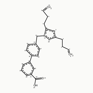 C=CCCc1nc(CCC=C)n(Cc2ccc(-c3cccc(C(=O)O)c3)cc2)n1